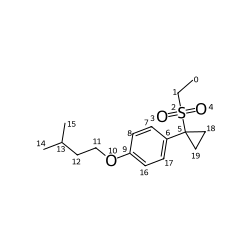 CCS(=O)(=O)C1(c2ccc(OCCC(C)C)cc2)CC1